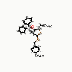 COc1ccc(CSC2C[C@H](O[Si](c3ccccc3)(c3ccccc3)C(C)(C)C)[C@@H](COC(C)=O)S2)cc1